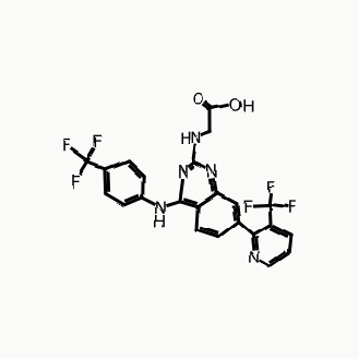 O=C(O)CNc1nc(Nc2ccc(C(F)(F)F)cc2)c2ccc(-c3ncccc3C(F)(F)F)cc2n1